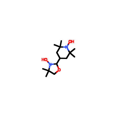 CC1(C)COC(C2CC(C)(C)N(O)C(C)(C)C2)N1O